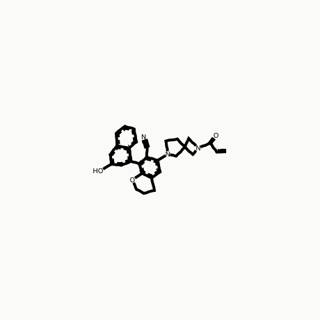 C=CC(=O)N1CC2(CCN(c3cc4c(c(-c5cc(O)cc6ccccc56)c3C#N)OCCC4)C2)C1